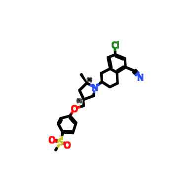 C[C@@H]1C[C@H](COc2ccc(S(C)(=O)=O)cc2)CN1C1CCc2c(C#N)cc(Cl)cc2C1